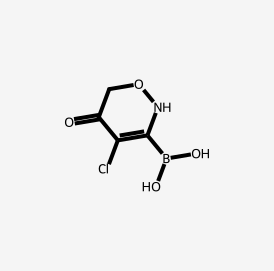 O=C1CONC(B(O)O)=C1Cl